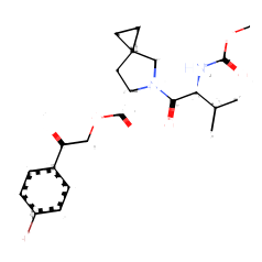 COC(=O)N[C@H](C(=O)N1CC2(CC2)C[C@H]1C(=O)OCC(=O)c1ccc(Br)cc1)C(C)C